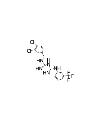 N=C(NCc1ccc(Cl)c(Cl)c1)NC(=N)Nc1cccc(C(F)(F)F)c1